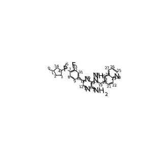 CC1CCC(P(C)c2ccc(-c3cnc(N)c(N(N)Cc4ccc5ncccc5c4)n3)cc2F)C1